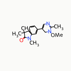 CON1CC(c2ccc3c(c2)N(C)C(=O)C3(C)C)=CN=C1C